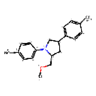 CCOC[C@@H]1CC(c2ccc(C(F)(F)F)cc2)CN1c1ccc(C#N)cc1